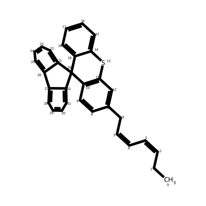 CC/C=C\C=C/Cc1ccc2c(c1)Sc1ccccc1C21c2ccccc2-c2ccccc21